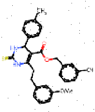 COc1cccc(CCC2=C(C(=O)OCc3cccc(C#N)c3)C(c3ccc(C)cc3)NC(=S)N2)c1